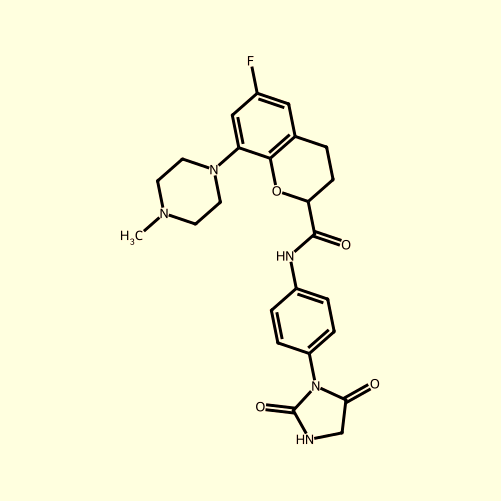 CN1CCN(c2cc(F)cc3c2OC(C(=O)Nc2ccc(N4C(=O)CNC4=O)cc2)CC3)CC1